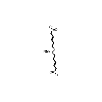 O=S([O-])C/C=C/CCSSCC/C=C/CS(=O)[O-].[Na+].[Na+]